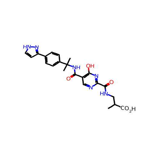 CC(CNC(=O)c1ncc(C(=O)NC(C)(C)c2ccc(-c3cc[nH]n3)cc2)c(O)n1)C(=O)O